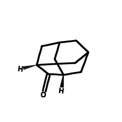 O=C1[C@H]2CC3CC(C[C@H]1C3)C2